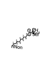 CCCCCCCCCCCCCCCCCCOC(=O)N(C)SCl